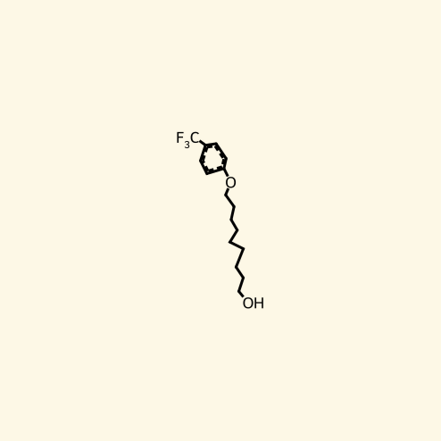 OCCCCCCCCCOc1ccc(C(F)(F)F)cc1